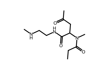 CCC(=O)N(C)C(CC(C)=O)C(=O)NCCNC